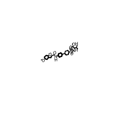 COc1ccc2oc(C(=O)Nc3ccc(C4=CC=C(S(=O)(=O)N[C@H](C(=O)O)C(C)C)CC4)cc3)cc2c1